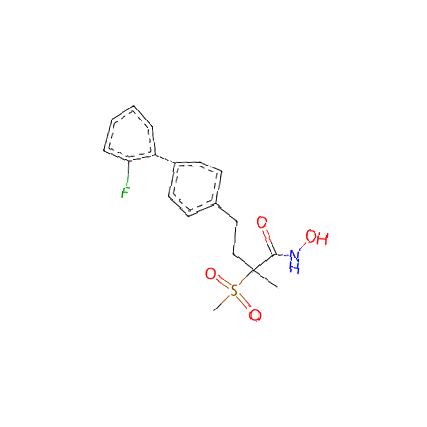 CC(CCc1ccc(-c2ccccc2F)cc1)(C(=O)NO)S(C)(=O)=O